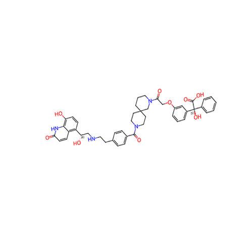 O=C(COc1cccc([C@](O)(C(=O)O)c2ccccc2)c1)N1CCCC2(CCN(C(=O)c3ccc(CCNC[C@H](O)c4ccc(O)c5[nH]c(=O)ccc45)cc3)CC2)C1